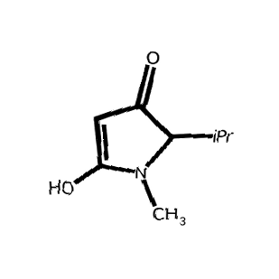 CC(C)C1C(=O)C=C(O)N1C